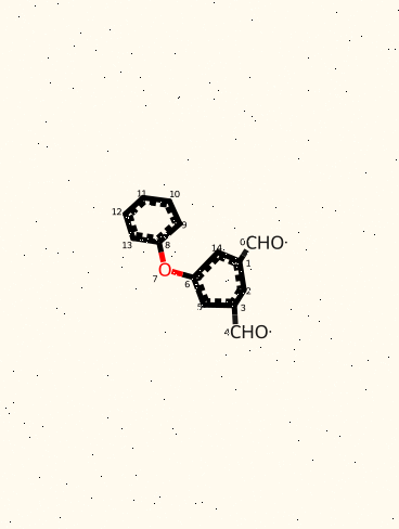 O=[C]c1cc([C]=O)cc(Oc2ccccc2)c1